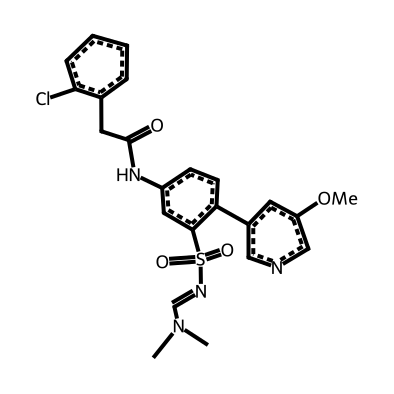 COc1cncc(-c2ccc(NC(=O)Cc3ccccc3Cl)cc2S(=O)(=O)N=CN(C)C)c1